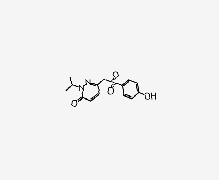 CC(C)n1nc(CS(=O)(=O)c2ccc(O)cc2)ccc1=O